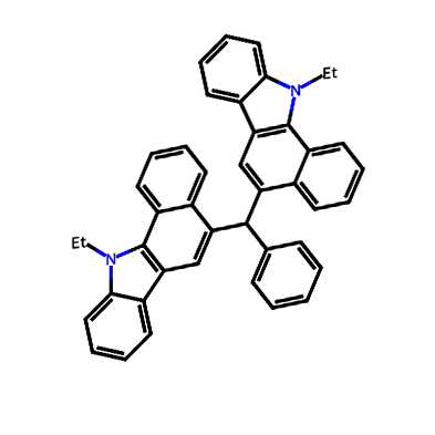 CCn1c2ccccc2c2cc(C(c3ccccc3)c3cc4c5ccccc5n(CC)c4c4ccccc34)c3ccccc3c21